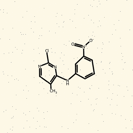 Cc1cnc(Cl)nc1Nc1cccc([N+](=O)[O-])c1